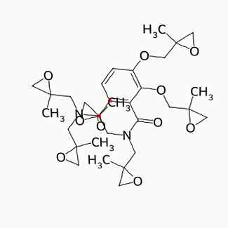 CC1(COc2ccc(C(=O)N(CC3(C)CO3)CC3(C)CO3)c(C(=O)N(CC3(C)CO3)CC3(C)CO3)c2OCC2(C)CO2)CO1